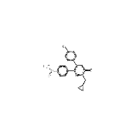 C[S+]([O-])c1ccc(-c2nn(CC3CC3)c(=O)cc2-c2ccc(Cl)cc2)cc1